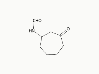 O=CNC1CCCCC(=O)C1